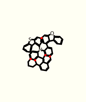 c1ccc(N(c2ccccc2-c2cccc3oc4ccccc4c23)c2cccc3sc4ccccc4c23)c(-c2cccc3cccc(C4CCCCC4)c23)c1